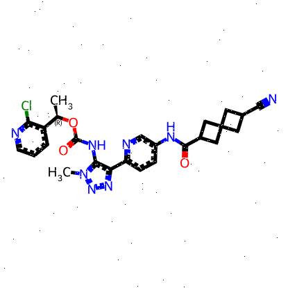 C[C@@H](OC(=O)Nc1c(-c2ccc(NC(=O)C3CC4(CC(C#N)C4)C3)cn2)nnn1C)c1cccnc1Cl